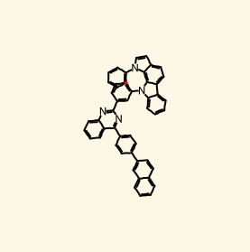 c1ccc(-n2ccc3ccc4c5ccccc5n(-c5cccc(-c6nc(-c7ccc(-c8ccc9ccccc9c8)cc7)c7ccccc7n6)c5)c4c32)cc1